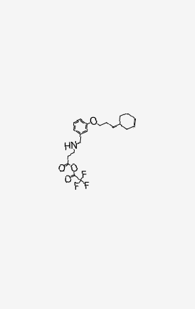 O=C(CCNCc1cccc(OCCCC2CCCCC2)c1)OC(=O)C(F)(F)F